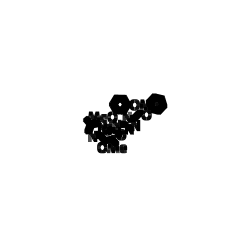 COc1cccc(OC)c1-n1c(COc2ccccc2)nnc1NS(=O)(=O)C(C)C(OC)c1ncc(C)cn1